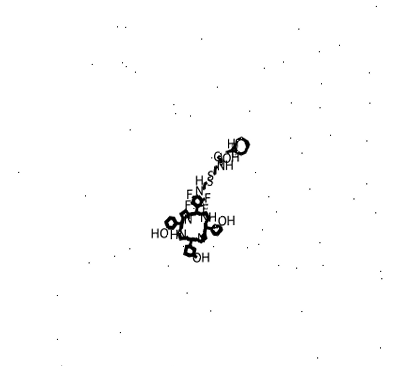 O=C(NCCSSCCNc1c(F)c(F)c(-c2c3nc(c(-c4cccc(O)c4)c4ccc([nH]4)c(-c4cccc(O)c4)c4nc(c(-c5cccc(O)c5)c5ccc2[nH]5)C=C4)C=C3)c(F)c1F)OCC1[C@H]2CCC#CCC[C@@H]12